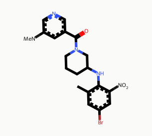 CNc1cncc(C(=O)N2CCCC(Nc3c(C)cc(Br)cc3[N+](=O)[O-])C2)c1